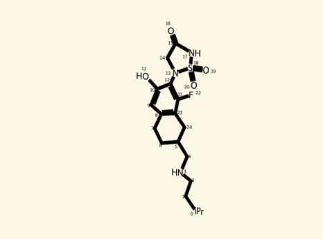 CC(C)CCNCC1CCc2cc(O)c(N3CC(=O)NS3(=O)=O)c(F)c2C1